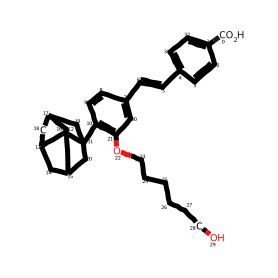 O=C(O)c1ccc(C=Cc2ccc(C34CC5CC(CC(C5)C3)C4)c(OCCCCCCO)c2)cc1